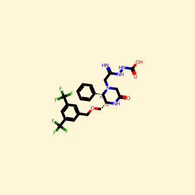 N=C(CN1CC(=O)N[C@H](COCc2cc(C(F)(F)F)cc(C(F)(F)F)c2)[C@@H]1c1ccccc1)NNC(=O)O